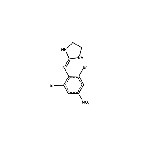 O=[N+]([O-])c1cc(Br)c(N=C2NCCN2)c(Br)c1